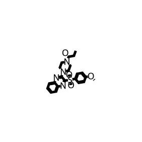 CCC(=O)N1CCN(c2nc3ccccc3nc2S(=O)(=O)c2ccc(OC)cc2)CC1